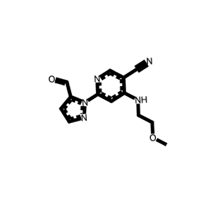 COCCNc1cc(-n2nccc2C=O)ncc1C#N